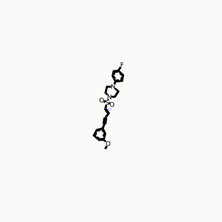 COc1cccc(C#C/C=C/S(=O)(=O)N2CCN(c3ccc(F)cc3)CC2)c1